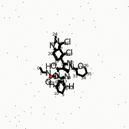 CCNC(=O)O[C@@H]1C[C@@H]2CC[C@H]1N2c1nc2c(c(-c3ccc4nn(C)c(Cl)c4c3Cl)nn2C2CCCCO2)c(=O)n1C